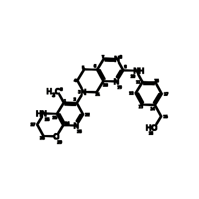 Cc1c(N2CCc3cnc(Nc4ccc(CO)cc4)nc3C2)cnc2c1NCCO2